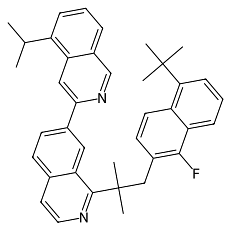 CC(C)c1cccc2cnc(-c3ccc4ccnc(C(C)(C)Cc5ccc6c(C(C)(C)C)cccc6c5F)c4c3)cc12